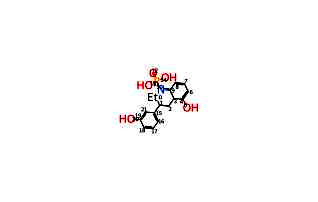 CCC(CC1C(O)=CC=CC1=NP(=O)(O)O)c1cccc(O)c1